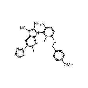 COc1ccc(COc2ccc(C)c(-n3c(N)c(C#N)c4cc(-n5cccn5)c(C)nc43)c2C)cc1